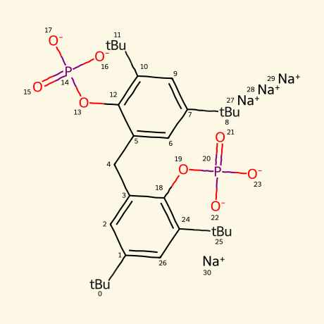 CC(C)(C)c1cc(Cc2cc(C(C)(C)C)cc(C(C)(C)C)c2OP(=O)([O-])[O-])c(OP(=O)([O-])[O-])c(C(C)(C)C)c1.[Na+].[Na+].[Na+].[Na+]